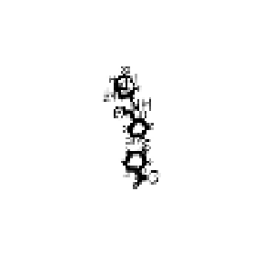 CC(=O)c1cccc(Sc2ccc(C(=O)N[C@@H]3C[C@@H]4CCN(C4)C3)cc2)c1